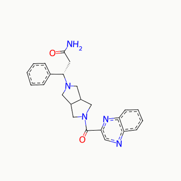 NC(=O)C[C@@H](c1ccccc1)N1CC2CN(C(=O)c3cnc4ccccc4n3)CC2C1